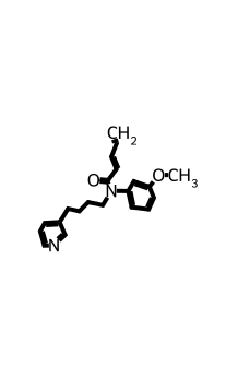 C=CC=CC(=O)N(CCCCc1cccnc1)c1cccc(OC)c1